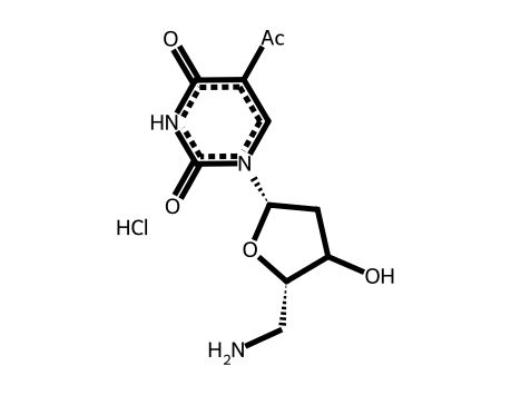 CC(=O)c1cn([C@@H]2CC(O)[C@H](CN)O2)c(=O)[nH]c1=O.Cl